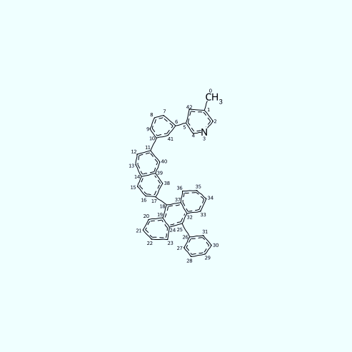 Cc1cncc(-c2cccc(-c3ccc4ccc(-c5c6ccccc6c(-c6ccccc6)c6ccccc56)cc4c3)c2)c1